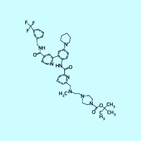 CN(CCN1CCN(C(=O)OC(C)(C)C)CC1)Cc1cccc(C(=O)Nc2ccc(N3CCCCC3)cc2-c2cc(C(=O)NCc3cccc(C(F)(F)F)c3)ccn2)n1